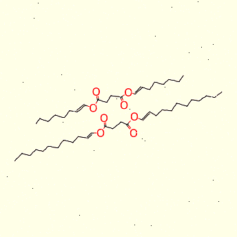 CCCCCCC=COC(=O)CCC(=O)OC=CCCCCCC.CCCCCCCCCCC=COC(=O)CCC(=O)OC=CCCCCCCCCCC